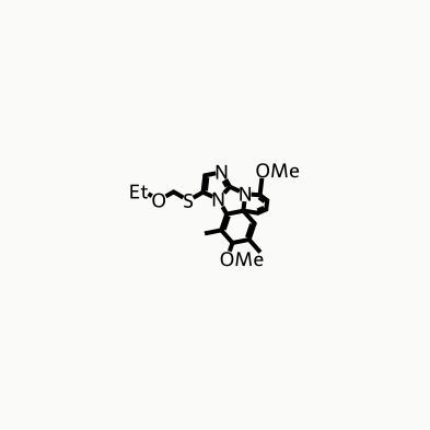 CCOCSc1cnc2n1C1=C(C)C(OC)C(C)=CC13C=CC=C(OC)N23